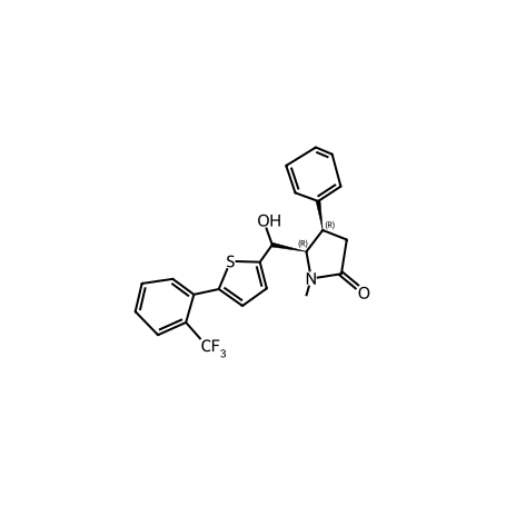 CN1C(=O)C[C@H](c2ccccc2)[C@@H]1C(O)c1ccc(-c2ccccc2C(F)(F)F)s1